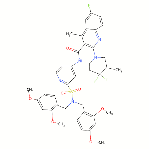 COc1ccc(CN(Cc2ccc(OC)cc2OC)S(=O)(=O)c2cc(NC(=O)c3c(N4CCC(F)(F)C(C)C4)nc4ccc(F)cc4c3C)ccn2)c(OC)c1